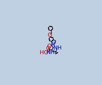 O=C(NO)C1CC2(CC2)CNC1C(=O)N1CCc2cc(OCc3ccccc3)ccc21